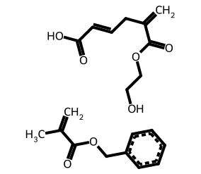 C=C(C)C(=O)OCc1ccccc1.C=C(CC=CC(=O)O)C(=O)OCCO